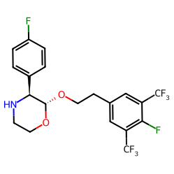 Fc1ccc([C@@H]2NCCO[C@H]2OCCc2cc(C(F)(F)F)c(F)c(C(F)(F)F)c2)cc1